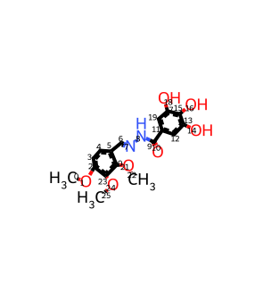 COc1ccc(/C=N/NC(=O)c2cc(O)c(O)c(O)c2)c(OC)c1OC